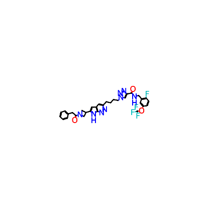 O=C(NCc1cc(OC(F)(F)F)ccc1F)c1cn(CCCCc2cc3cc(C4CN(C(=O)Cc5ccccc5)C4)[nH]c3nn2)nn1